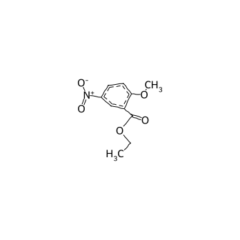 CCOC(=O)c1cc([N+](=O)[O-])ccc1OC